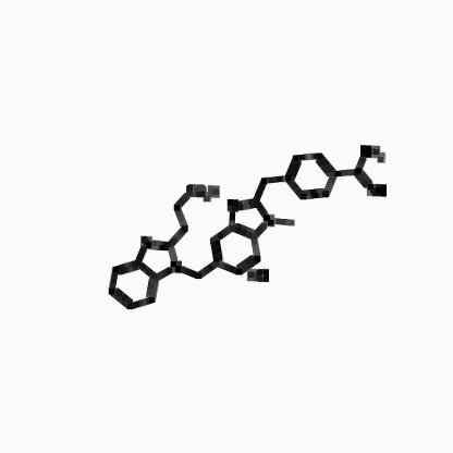 Cl.Cn1c(Cc2ccc(C(=N)N)cc2)nc2cc(Cn3c(CCC(=O)O)nc4ccccc43)ccc21